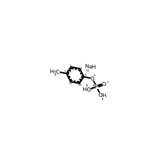 Cc1ccc(OP(=O)(O)O)cc1.[NaH]